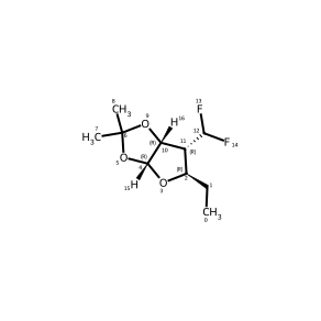 CC[C@H]1O[C@@H]2OC(C)(C)O[C@@H]2[C@@H]1C(F)F